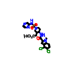 Cn1c(C(=O)NC2CCN(S(=O)(=O)Nc3cnccn3)CC2CC(=O)O)cc2c(Cl)c(Cl)ccc21